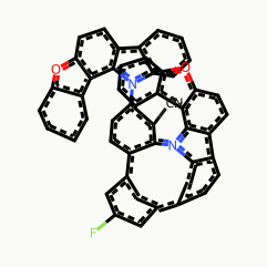 N#Cc1c(-n2c3ccccc3c3ccc4oc5ccccc5c4c32)ccc2c3cc(F)cc(c3)c3ccc4c5ccc6oc7ccccc7c6c5n(c4c3)c12